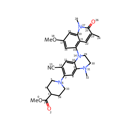 COC(=O)C1CCN(c2cc3c(cc2C#N)N(c2cc(OC)cc4c2cc(C)c(=O)n4C)CCN3C)CC1